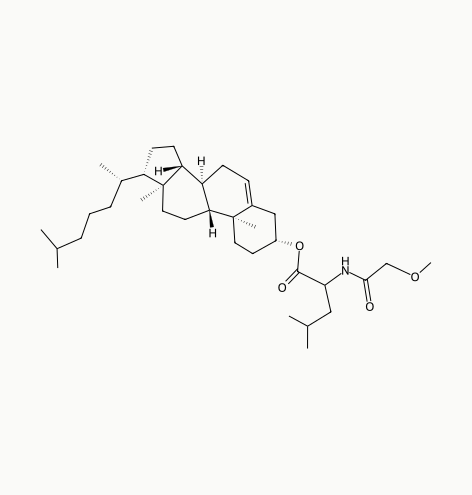 COCC(=O)NC(CC(C)C)C(=O)O[C@@H]1CC[C@]2(C)C(=CC[C@@H]3[C@H]4CC[C@@H]([C@@H](C)CCCC(C)C)[C@]4(C)CC[C@H]32)C1